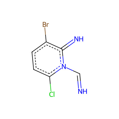 N=Cn1c(Cl)ccc(Br)c1=N